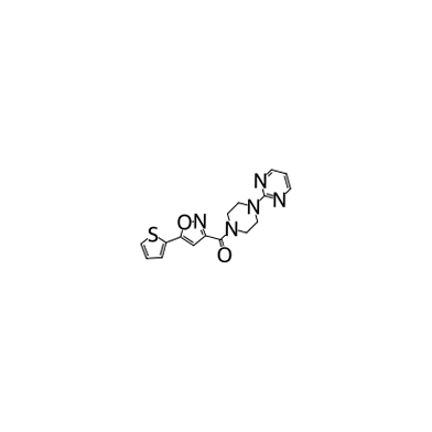 O=C(c1cc(-c2cccs2)on1)N1CCN(c2ncccn2)CC1